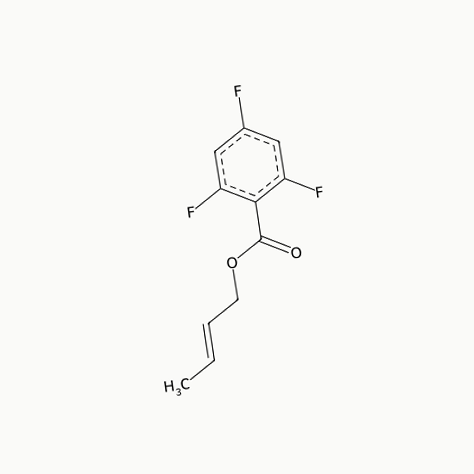 CC=CCOC(=O)c1c(F)cc(F)cc1F